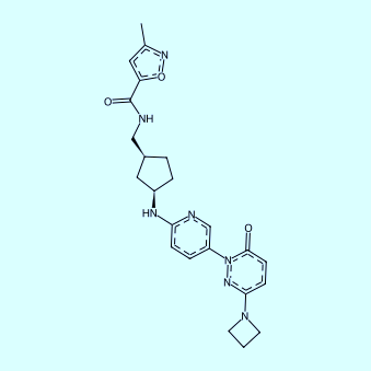 Cc1cc(C(=O)NC[C@H]2CC[C@@H](Nc3ccc(-n4nc(N5CCC5)ccc4=O)cn3)C2)on1